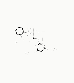 CCOc1ccccc1S(=O)(=O)NC(=O)Nc1nc(OC)cc(OC)n1.[NaH]